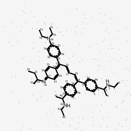 CCNC(C)c1ccc(C(=CC=CC(=C2C=CC(=NC(C)CC)C=C2)c2ccc(N(CC)CC)cc2)c2ccc(C(C)NCC)cc2)cc1